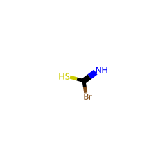 N=C(S)Br